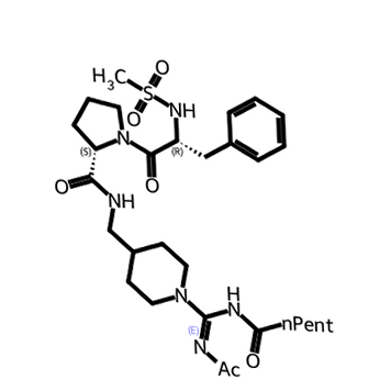 CCCCCC(=O)N/C(=N\C(C)=O)N1CCC(CNC(=O)[C@@H]2CCCN2C(=O)[C@@H](Cc2ccccc2)NS(C)(=O)=O)CC1